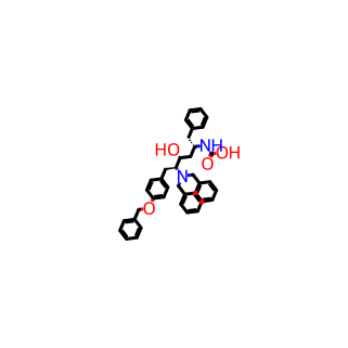 O=C(O)N[C@@H](Cc1ccccc1)C[C@H](O)[C@H](Cc1ccc(OCc2ccccc2)cc1)N(Cc1ccccc1)Cc1ccccc1